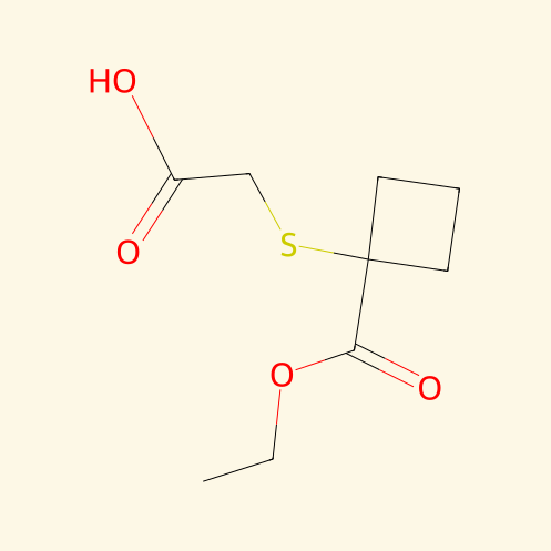 CCOC(=O)C1(SCC(=O)O)CCC1